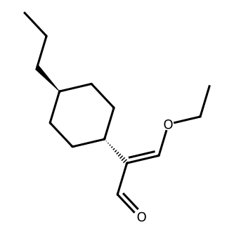 CCC[C@H]1CC[C@H](/C(C=O)=C\OCC)CC1